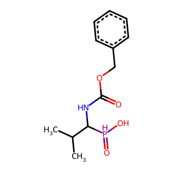 CC(C)C(NC(=O)OCc1ccccc1)[PH](=O)O